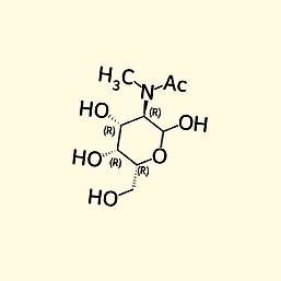 CC(=O)N(C)[C@H]1C(O)O[C@H](CO)[C@H](O)[C@@H]1O